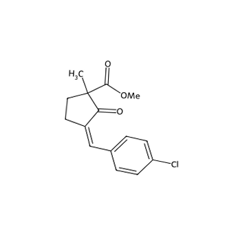 COC(=O)C1(C)CCC(=Cc2ccc(Cl)cc2)C1=O